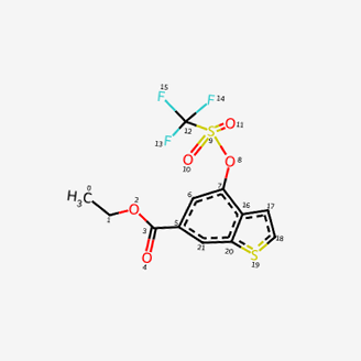 CCOC(=O)c1cc(OS(=O)(=O)C(F)(F)F)c2ccsc2c1